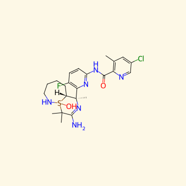 Cc1cc(Cl)cnc1C(=O)Nc1ccc(F)c([C@@]2(C)N=C(N)C(C)(C)S3(O)NCCCC[C@H]23)n1